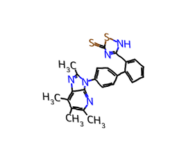 Cc1nc2c(nc(C)n2-c2ccc(-c3ccccc3-c3nc(=S)s[nH]3)cc2)c(C)c1C